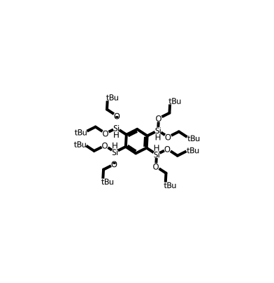 CC(C)(C)CO[SiH](OCC(C)(C)C)c1cc([SiH](OCC(C)(C)C)OCC(C)(C)C)c([SiH](OCC(C)(C)C)OCC(C)(C)C)cc1[SiH](OCC(C)(C)C)OCC(C)(C)C